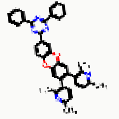 Cc1ccc(-c2cc3c(cc2-c2ccc(C)nc2C)Oc2cc(-c4nc(-c5ccccc5)nc(-c5ccccc5)n4)ccc2O3)c(C)n1